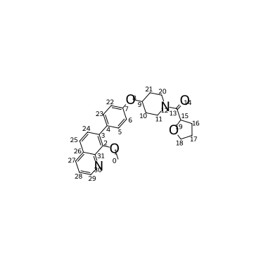 COc1c(-c2ccc(OC3CCN(C(=O)C4CCCO4)CC3)cc2)ccc2cccnc12